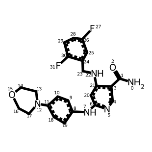 NC(=O)c1cnc(Nc2ccc(N3CCOCC3)cc2)cc1NCc1cc(F)ccc1F